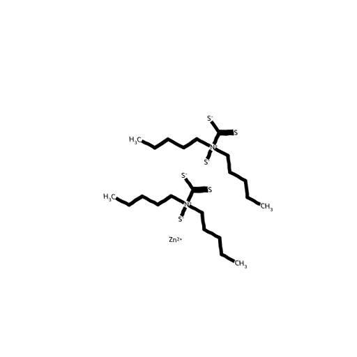 CCCCC[N+]([S-])(CCCCC)C(=S)[S-].CCCCC[N+]([S-])(CCCCC)C(=S)[S-].[Zn+2]